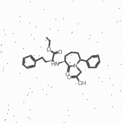 CCOC(=O)[C@H](CCc1ccccc1)N[C@H]1CCCC(c2ccccc2)N(CC(=O)O)C1=O